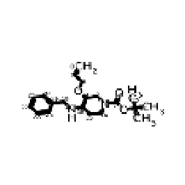 C=CCOC1CN(C(=O)OC(C)(C)C)CCC1NCc1ccccc1